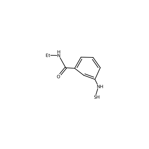 CCNC(=O)c1cccc(NS)c1